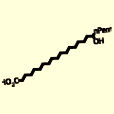 CCCCCC(O)CCCCCCCCCCCCCCCCC(=O)O